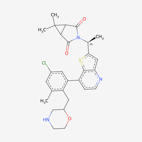 Cc1cc(Cl)cc(-c2ccnc3cc([C@H](C)N4C(=O)C5C(C4=O)C5(C)C)sc23)c1CC1CNCCO1